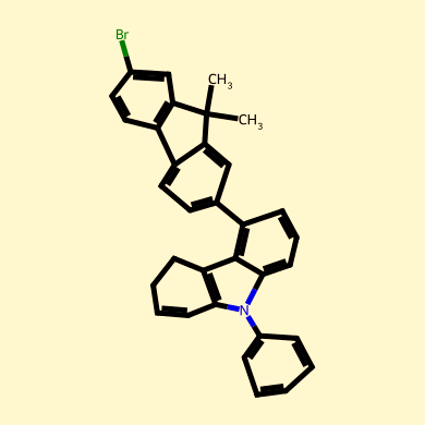 CC1(C)c2cc(Br)ccc2-c2ccc(-c3cccc4c3c3c(n4-c4ccccc4)C=CCC3)cc21